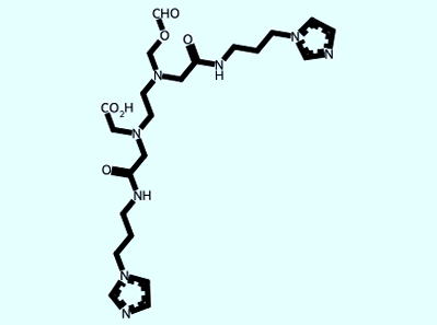 O=COCN(CCN(CC(=O)O)CC(=O)NCCCn1ccnc1)CC(=O)NCCCn1ccnc1